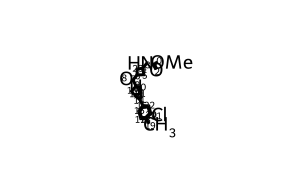 COC(=O)NC1CC(C(=O)N2CC3C(C2)C3c2ccc(C)c(Cl)c2)C1